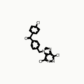 O=C(c1ccc(Cl)cc1)c1ccc(Cn2cnc3c(Cl)nnc(Cl)c32)cc1